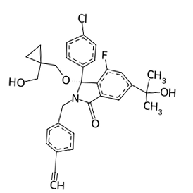 C#Cc1ccc(CN2C(=O)c3cc(C(C)(C)O)cc(F)c3[C@]2(OCC2(CO)CC2)c2ccc(Cl)cc2)cc1